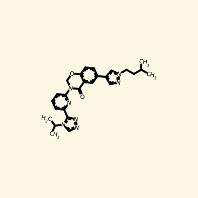 CC(C)CCn1cc(-c2ccc3c(c2)C(=O)N(c2cccc(-c4nncn4C(C)C)n2)CO3)cn1